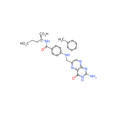 Cc1ccccc1.Nc1nc2ncc(CNc3ccc(C(=O)N[C@@H](CCC(=O)O)C(=O)O)cc3)nc2c(=O)[nH]1